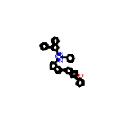 c1ccc(-c2nc(-c3cc(-c4ccccc4)c4ccccc4c3)nc(-c3cccc4ccc(-c5ccc6cc7oc8ccccc8c7cc6c5)cc34)n2)cc1